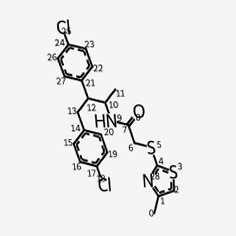 Cc1csc(SCC(=O)NC(C)C(Cc2ccc(Cl)cc2)c2ccc(Cl)cc2)n1